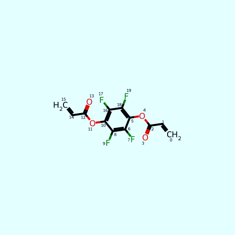 C=CC(=O)Oc1c(F)c(F)c(OC(=O)C=C)c(F)c1F